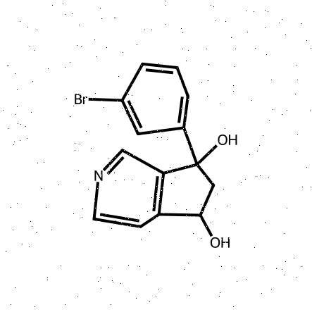 OC1CC(O)(c2cccc(Br)c2)c2cnccc21